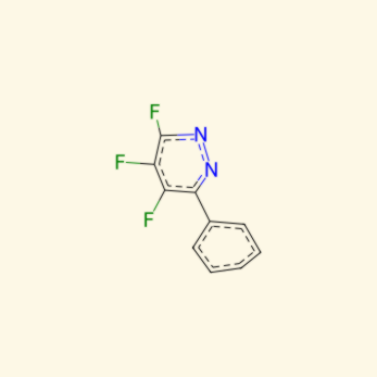 Fc1nnc(-c2ccccc2)c(F)c1F